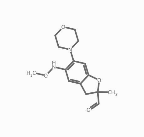 CONc1cc2c(cc1N1CCOCC1)OC(C)(C=O)C2